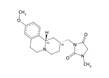 COc1ccc2c(c1)CCN1CC[C@@H](CN3C(=O)CN(C)C3=O)C[C@@H]21